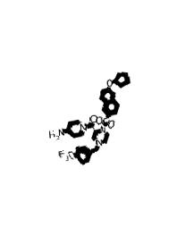 NC1CCN(C(=O)[C@H]2CN(Cc3ccc(C(F)(F)F)cc3)CCN2S(=O)(=O)c2ccc3cc(OC4CCCC4)ccc3c2)CC1